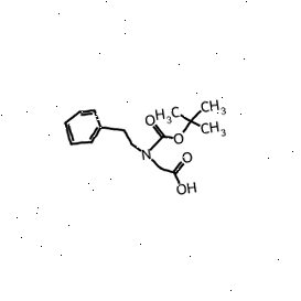 CC(C)(C)OC(=O)N(CCc1ccccc1)CC(=O)O